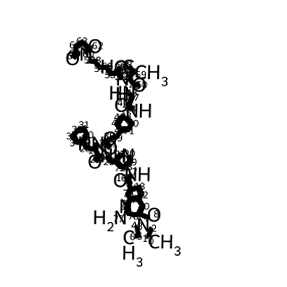 CCCN(CCC)C(=O)C1=Cc2ccc(C(=O)Nc3cncc(CNC(=O)C(Cc4ccccc4)NC(=O)OCc4ccc(NC(=O)CNC(=O)C(NC(=O)CCCCCN5C(=O)C=CC5=O)C(C)C)cc4)c3)cc2N=C(N)C1